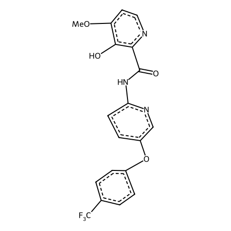 COc1ccnc(C(=O)Nc2ccc(Oc3ccc(C(F)(F)F)cc3)cn2)c1O